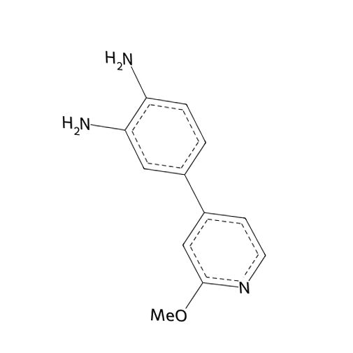 COc1cc(-c2ccc(N)c(N)c2)ccn1